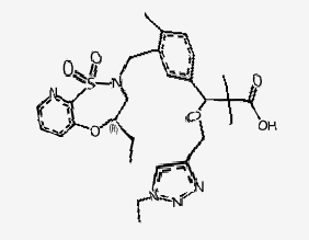 CC[C@@H]1CN(Cc2cc(C(OCc3cn(CC)nn3)C(C)(C)C(=O)O)ccc2C)S(=O)(=O)c2ncccc2O1